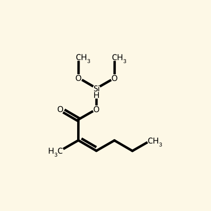 CCCC=C(C)C(=O)O[SiH](OC)OC